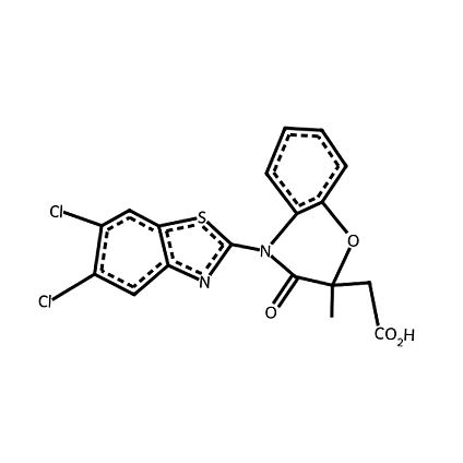 CC1(CC(=O)O)Oc2ccccc2N(c2nc3cc(Cl)c(Cl)cc3s2)C1=O